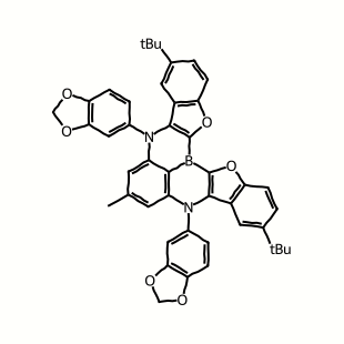 Cc1cc2c3c(c1)N(c1ccc4c(c1)OCO4)c1c(oc4ccc(C(C)(C)C)cc14)B3c1oc3ccc(C(C)(C)C)cc3c1N2c1ccc2c(c1)OCO2